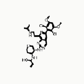 C=CC(O)N[C@H]1CCOC[C@H]1Nc1ncc2cc(-c3c(Cl)c(OC)cc(OC)c3Cl)nc(CCNC(C)C)c2n1